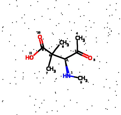 CN[C@H](C(C)=O)C(C)(C)C(=O)O